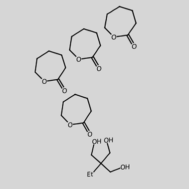 CCC(CO)(CO)CO.O=C1CCCCCO1.O=C1CCCCCO1.O=C1CCCCCO1.O=C1CCCCCO1